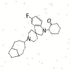 O=C1CCCCC1N1CC2(CCN(C3CCC4CCC(CC3)C4)CC2)c2cc(F)ccc21